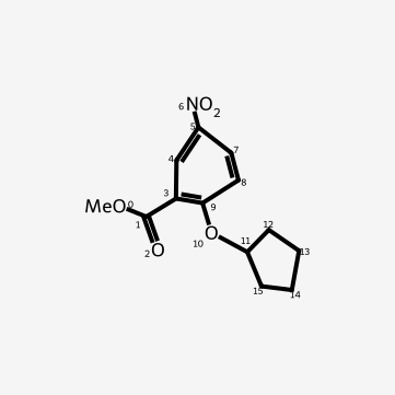 COC(=O)c1cc([N+](=O)[O-])ccc1OC1CCCC1